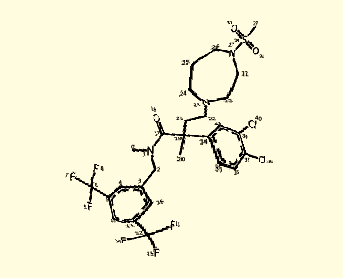 CN(Cc1cc(C(F)(F)F)cc(C(F)(F)F)c1)C(=O)C(C)(CCN1CCCN(S(C)(=O)=O)CC1)c1ccc(Cl)c(Cl)c1